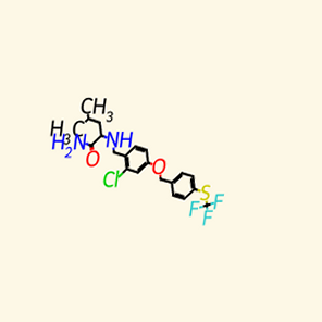 CC(C)CC(NCc1ccc(OCc2ccc(SC(F)(F)F)cc2)cc1Cl)C(N)=O